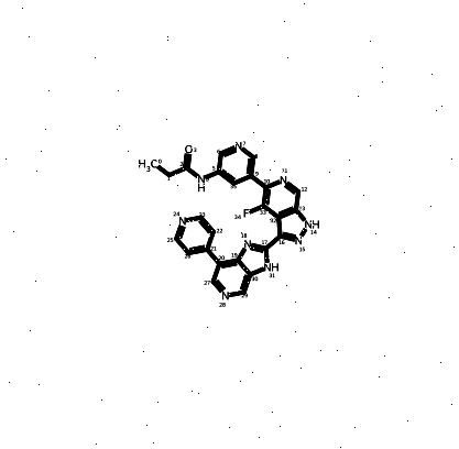 CCC(=O)Nc1cncc(-c2ncc3[nH]nc(-c4nc5c(-c6ccncc6)cncc5[nH]4)c3c2F)c1